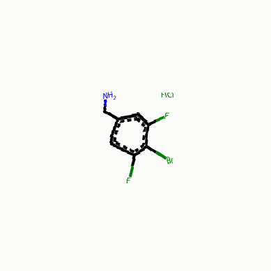 Cl.NCc1cc(F)c(Br)c(F)c1